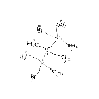 CC(C)(Br)C(C)(C)C(N)(N)Br